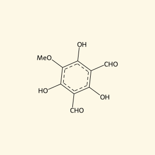 COc1c(O)c(C=O)c(O)c(C=O)c1O